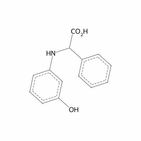 O=C(O)C(Nc1cccc(O)c1)c1ccccc1